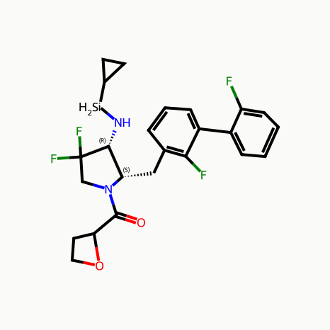 O=C(C1CCO1)N1CC(F)(F)[C@H](N[SiH2]C2CC2)[C@@H]1Cc1cccc(-c2ccccc2F)c1F